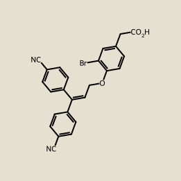 N#Cc1ccc(C(=CCOc2ccc(CC(=O)O)cc2Br)c2ccc(C#N)cc2)cc1